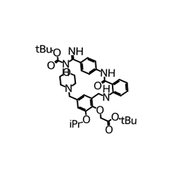 CC(C)Oc1cc(CN2CCOCC2)cc(CNc2ccccc2C(=O)Nc2ccc(C(=N)NC(=O)OC(C)(C)C)cc2)c1OCC(=O)OC(C)(C)C